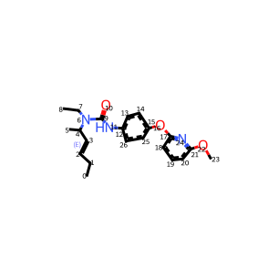 CC/C=C/C(C)N(CC)C(=O)Nc1ccc(Oc2cccc(OC)n2)cc1